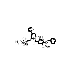 COc1cc(C(=O)N2CCC(c3cccs3)=C[C@H]2CCO[Si](C)(C)C(C)(C)C)c(N)cc1OCc1ccccc1